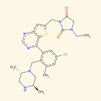 CCN1CC(=O)N(Cc2cc3ncnc(-c4cc(Cl)cc(C)c4CN4C[C@@H](C)NC[C@@H]4C)c3s2)C1=O